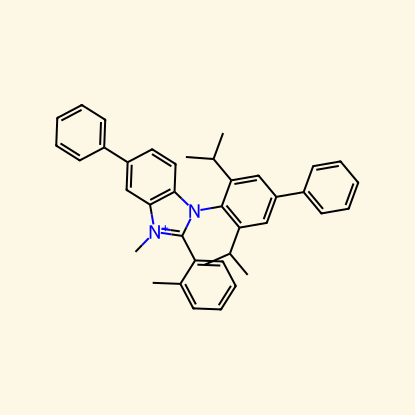 Cc1ccccc1-c1n(-c2c(C(C)C)cc(-c3ccccc3)cc2C(C)C)c2ccc(-c3ccccc3)cc2[n+]1C